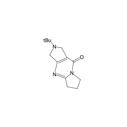 CC(C)(C)N1Cc2nc3n(c(=O)c2C1)CCC3